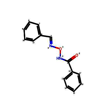 O=C(NON=Cc1ccccc1)c1ccccc1